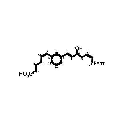 CCCCC/C=C\CC(O)/C=C/c1cccc(/C=C\CCCC(=O)O)c1